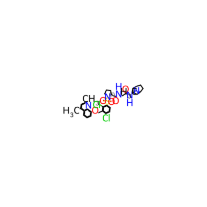 Cc1cc(C)c2cccc(OCc3c(Cl)ccc(S(=O)(=O)N4CCC[C@H]4C(=O)NCC(=O)NC4CC5CCC(C4)N5C)c3Cl)c2n1